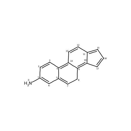 Nc1ccc2c(c1)=CCc1c3c(ccc1=2)=CC=C3